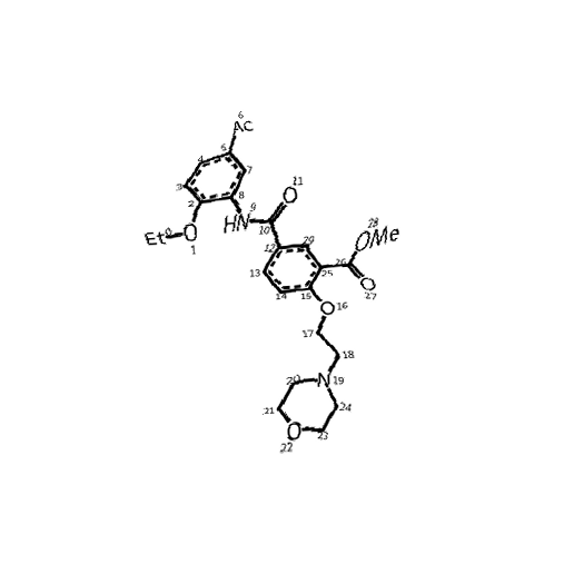 CCOc1ccc(C(C)=O)cc1NC(=O)c1ccc(OCCN2CCOCC2)c(C(=O)OC)c1